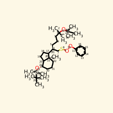 CC(C)(CCC[C@@H](CSOOc1ccccc1)C1CCC2[C@@H](O[Si](C)(C)C(C)(C)C)CCC[C@]12C)O[Si](C)(C)C